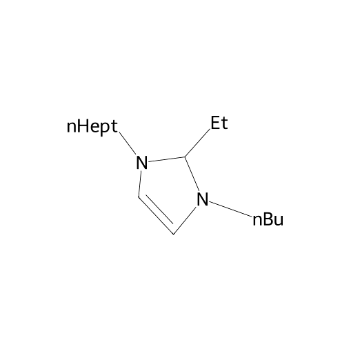 CCCCCCCN1C=CN(CCCC)C1CC